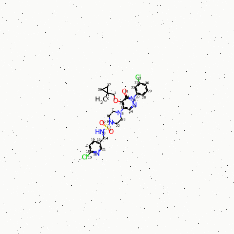 CC1(COc2c(N3CCN(S(=O)(=O)NCc4ccc(Cl)nc4)CC3)cnn(-c3cccc(Cl)c3)c2=O)CC1